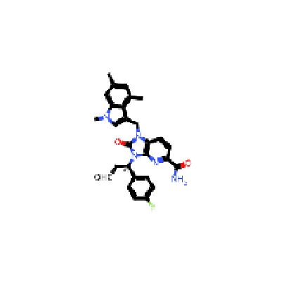 Cc1cc(C)c2c(Cn3c(=O)n([C@H](CC=O)c4ccc(F)cc4)c4nc(C(N)=O)ccc43)cn(C)c2c1